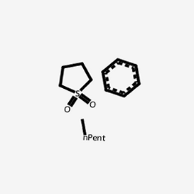 CCCCCC.O=S1(=O)CCCC1.c1ccccc1